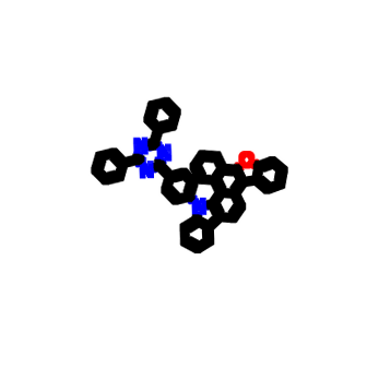 c1ccc(-c2nc(-c3ccccc3)nc(-c3ccc(-n4c5ccccc5c5ccc6c7c8ccccc8oc7c7ccccc7c6c54)cc3)n2)cc1